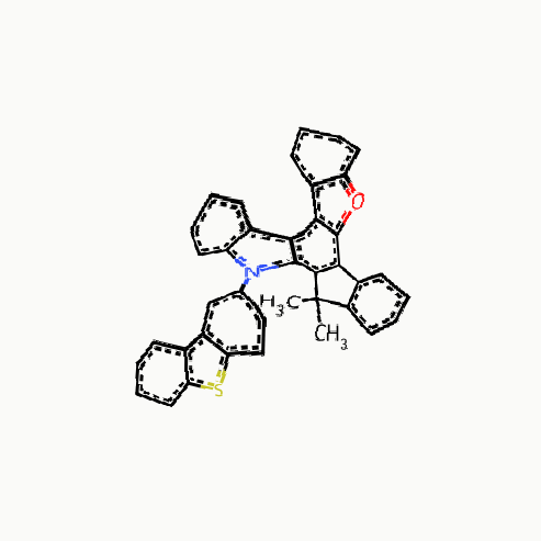 CC1(C)c2ccccc2-c2c1c1c(c3ccccc3n1-c1ccc3sc4ccccc4c3c1)c1c2oc2ccccc21